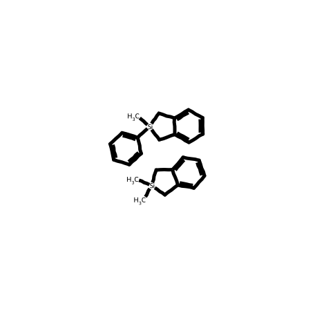 C[Si]1(C)Cc2ccccc2C1.C[Si]1(c2ccccc2)Cc2ccccc2C1